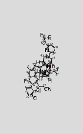 Cc1nc2c(F)c(-c3cccc(Cl)c3Cl)c(CCC#N)cc2c2c1cc([C@H]1[C@H]3C[C@H](CN(c4cccc(OC(F)F)n4)C3)N1C(=O)C1CC1)n2[C@H]1[C@H]2CN[C@@H]1C2